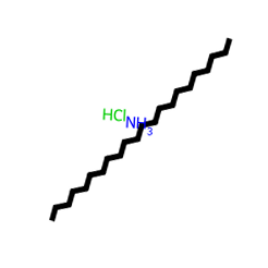 CCCCCCCCCCCCCCCCCCCCCC.Cl.N